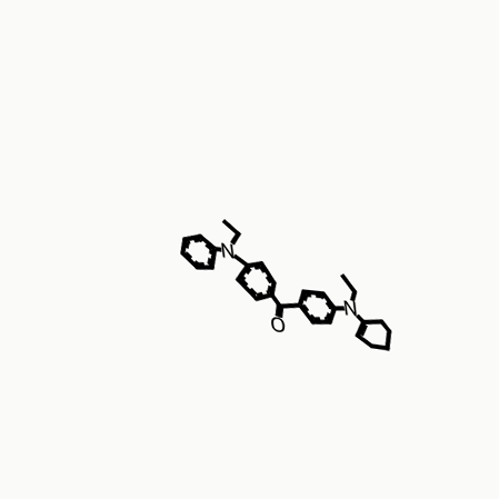 CCN(C1=CCCCC1)c1ccc(C(=O)c2ccc(N(CC)c3ccccc3)cc2)cc1